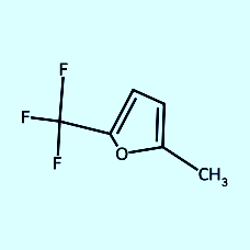 Cc1ccc(C(F)(F)F)o1